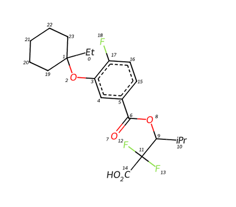 CCC1(Oc2cc(C(=O)OC(C(C)C)C(F)(F)C(=O)O)ccc2F)CCCCC1